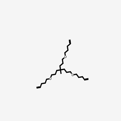 C=CCCCOCCCC(C)(CCCOCCCC=C)CCCOCCCC=C